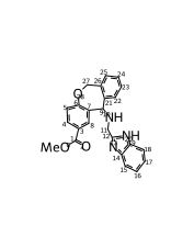 COC(=O)c1ccc2c(c1)C(NCc1nc3ccccc3[nH]1)c1ccccc1CO2